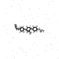 CC(C)Cc1ccc(-c2ccc(-c3ccc(N=C=S)cc3)cc2F)cc1